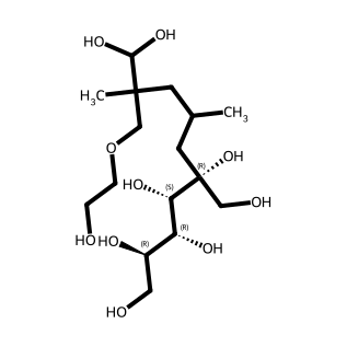 CC(CC(C)(COCCO)C(O)O)C[C@@](O)(CO)[C@@H](O)[C@H](O)[C@H](O)CO